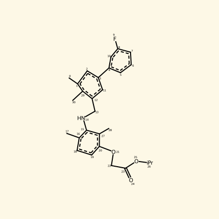 Cc1cc(-c2cccc(F)c2)cc(CNc2c(C)ccc(OCC(=O)OC(C)C)c2C)c1C